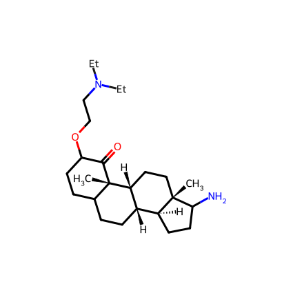 CCN(CC)CCOC1CCC2CC[C@@H]3[C@@H](CC[C@]4(C)C(N)CC[C@@H]34)[C@@]2(C)C1=O